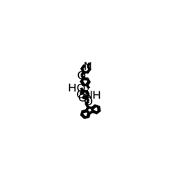 CN1CCC(Oc2ccc(C[C@H](NC(=O)OCC3c4ccccc4-c4ccccc43)C(=O)O)cc2)CC1